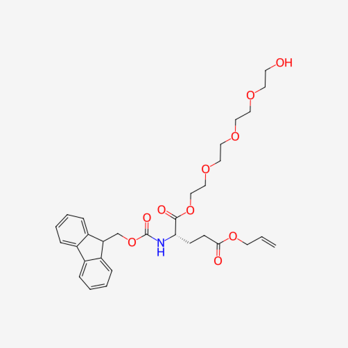 C=CCOC(=O)CC[C@H](NC(=O)OCC1c2ccccc2-c2ccccc21)C(=O)OCCOCCOCCOCCO